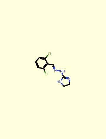 Clc1cccc(Cl)c1C=NNC1=NCCN1